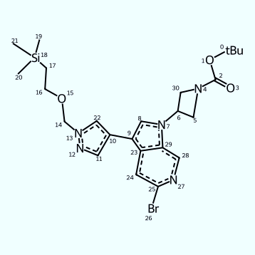 CC(C)(C)OC(=O)N1CC(n2cc(-c3cnn(COCC[Si](C)(C)C)c3)c3cc(Br)ncc32)C1